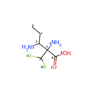 CCC(N)C(N)(C(=O)O)C(F)F